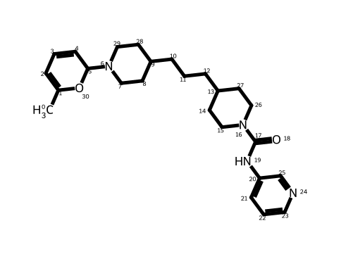 CC1=CC=CC(N2CCC(CCCC3CCN(C(=O)Nc4cccnc4)CC3)CC2)O1